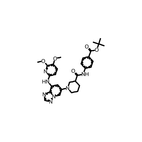 COc1ccc(Nc2cc(N3CCCC(C(=O)Nc4ccc(C(=O)OC(C)(C)C)cc4)C3)cn3ncnc23)nc1OC